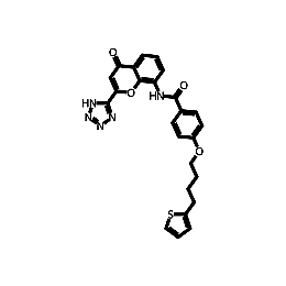 O=C(Nc1cccc2c(=O)cc(-c3nnn[nH]3)oc12)c1ccc(OCCCCc2cccs2)cc1